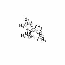 CCN(CC)C(=S)OCc1cc(C)c(O)c(CSC(=S)N(CC)CC)c1C.NC(O)=S